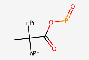 CCCC(C)(CCC)C(=O)OP=O